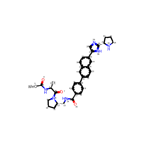 CC[C@H](NC(=O)OC)C(=O)N1CCC[C@H]1CNC(=O)c1ccc(-c2ccc3cc(-c4cnc([C@@H]5CCCN5)[nH]4)ccc3c2)cc1